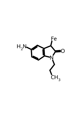 CCCN1C(=O)[CH]([Fe])c2cc(N)ccc21